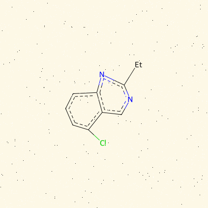 CCc1ncc2c(Cl)cccc2n1